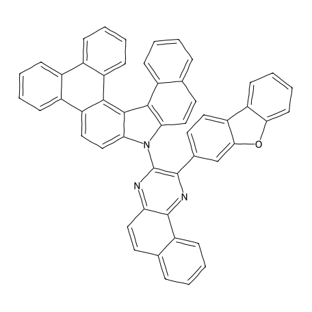 c1ccc2c(c1)ccc1nc(-n3c4ccc5ccccc5c4c4c5c6ccccc6c6ccccc6c5ccc43)c(-c3ccc4c(c3)oc3ccccc34)nc12